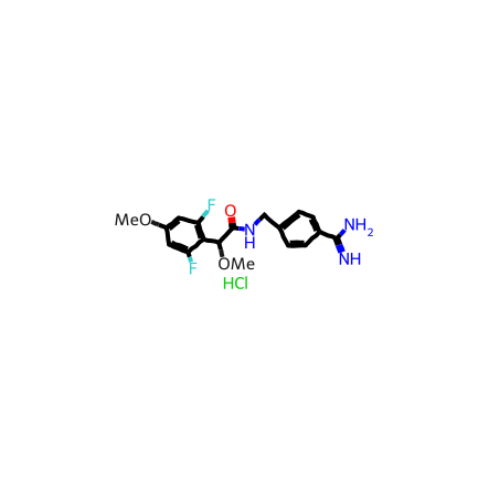 COc1cc(F)c(C(OC)C(=O)NCc2ccc(C(=N)N)cc2)c(F)c1.Cl